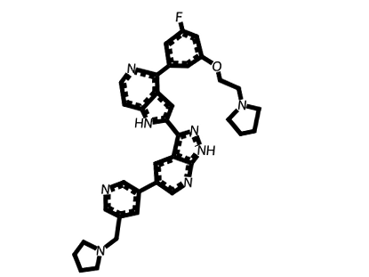 Fc1cc(OCCN2CCCC2)cc(-c2nccc3[nH]c(-c4n[nH]c5ncc(-c6cncc(CN7CCCC7)c6)cc45)cc23)c1